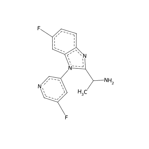 CC(N)c1nc2ccc(F)cc2n1-c1cncc(F)c1